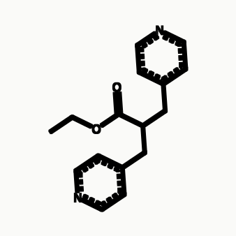 CCOC(=O)C(Cc1ccncc1)Cc1ccncc1